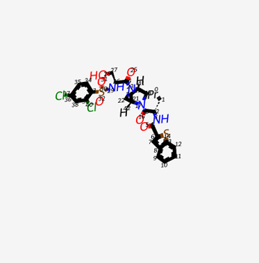 CC(C)C[C@H](NC(=O)c1cc2ccccc2s1)C(=O)N1C[C@@H]2C[C@H]1CN2C(=O)[C@H](CO)NS(=O)(=O)c1ccc(Cl)cc1Cl